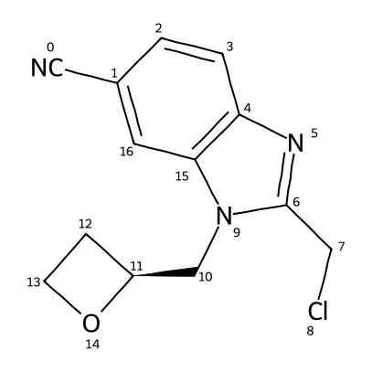 N#Cc1ccc2nc(CCl)n(C[C@@H]3CCO3)c2c1